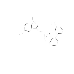 O=C(NCCc1c[nH]c2ccc(Cl)cc12)c1ccccc1-c1cccc(Cl)c1